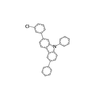 Clc1cccc(-c2ccc3c4cc(-c5ccccc5)ccc4n(-c4ccccc4)c3c2)c1